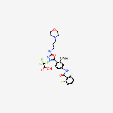 COc1cc(NC(=O)c2c(F)cccc2F)ccc1-c1nnc(NCCCN2CCOCC2)o1.O=C(O)C(F)(F)F